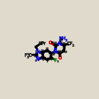 CC(C)Cn1c(C(F)(F)F)nc2cc(F)c(-n3c(=O)cc(C(F)(F)F)n(N)c3=O)cc21